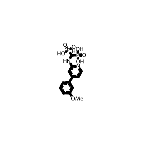 COc1cccc(-c2ccnc(NC(P(=O)(O)O)P(=O)(O)O)c2)c1